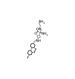 BCCCCC(N)(C(=O)O)[C@H]1C[C@@H](NCc2ccc(-c3ccc(F)cc3F)c(F)c2)C1